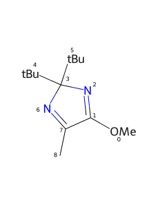 COC1=NC(C(C)(C)C)(C(C)(C)C)N=C1C